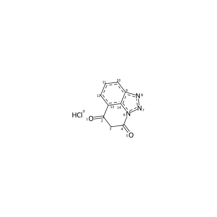 Cl.O=C1CC(=O)n2nnc3cccc1c32